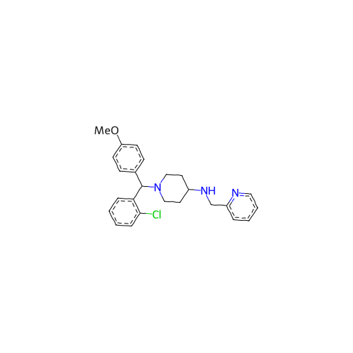 COc1ccc(C(c2ccccc2Cl)N2CCC(NCc3ccccn3)CC2)cc1